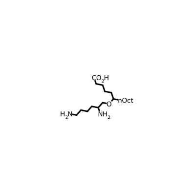 CCCCCCCCC(CCCCC(=O)O)OCC(N)CCCCN